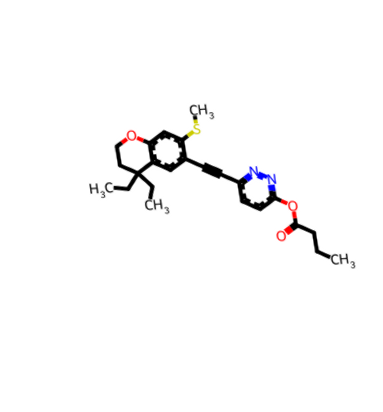 CCCC(=O)Oc1ccc(C#Cc2cc3c(cc2SC)OCCC3(CC)CC)nn1